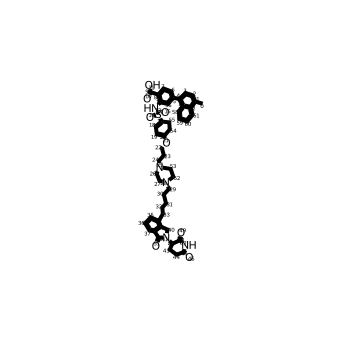 Cc1ccc(-c2ccc(C(=O)O)c(NS(=O)(=O)C3=CC=C(OCCCN4CCN(CCCCCc5cccc6c5CN(C5CCC(=O)NC5=O)C6=O)CC4)CC3)c2)c2ccccc12